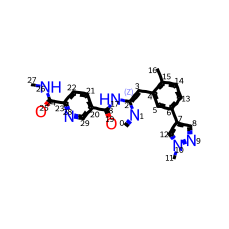 C=N/C(=C\c1cc(-c2cnn(C)c2)ccc1C)NC(=O)c1ccc(C(=O)NC)nc1